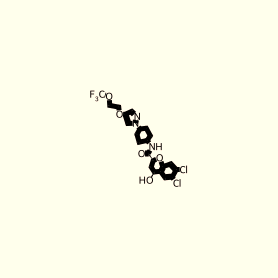 O=C(NC1CCC(n2cc(OCCOC(F)(F)F)cn2)CC1)[C@H]1C[C@@H](O)c2cc(Cl)c(Cl)cc2O1